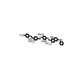 COc1cc(N=Nc2c(S(=O)(=O)O)cc3cc(Nc4ccccc4)ccc3c2O)c(OC)cc1N=Nc1ccc(C=Cc2ccc(N)cc2S(=O)(=O)O)c(S(=O)(=O)O)c1